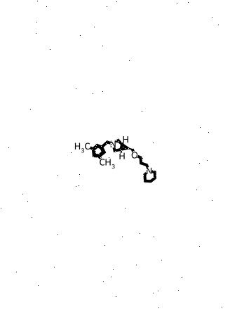 Cc1cc(C)cc(CN2C[C@@H]3[C@@H](COCCCN4CCCCC4)[C@@H]3C2)c1